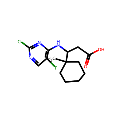 CC1(C(CC(=O)O)Nc2nc(Cl)ncc2F)CCCCC1